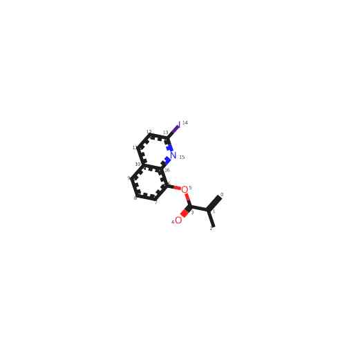 C=C(C)C(=O)Oc1cccc2ccc(I)nc12